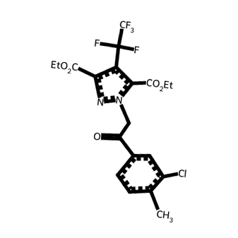 CCOC(=O)c1nn(CC(=O)c2ccc(C)c(Cl)c2)c(C(=O)OCC)c1C(F)(F)C(F)(F)F